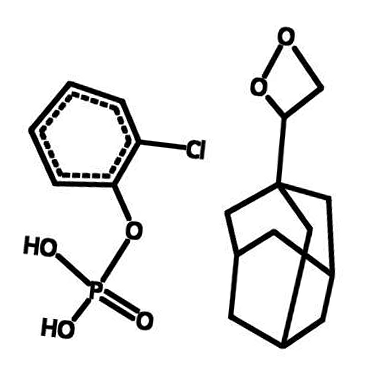 C1C2CC3CC1CC(C1COO1)(C2)C3.O=P(O)(O)Oc1ccccc1Cl